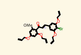 C=CCOc1cc(OC)c(C(=O)/C=C/c2cc(OCC=C)c(Br)c(OCC=C)c2)c(OCC=C)c1